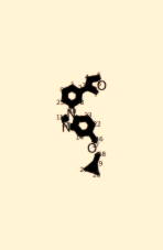 c1cc(-c2ccoc2)cc(-n2cnc3cc(COCC4CC4)ccc32)c1